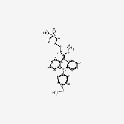 COc1ccc(N2c3ccccc3C(=C(SC)SCCCS(=O)(=O)O)c3ccccc32)cc1